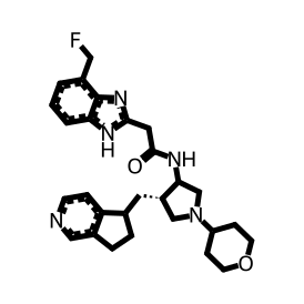 O=C(Cc1nc2c(CF)cccc2[nH]1)NC1CN(C2CCOCC2)C[C@@H]1CC1CCc2cnccc21